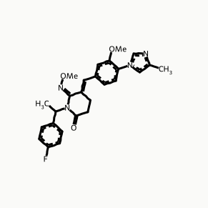 CO/N=C1\C(=C\c2ccc(-n3cnc(C)c3)c(OC)c2)CCC(=O)N1C(C)c1ccc(F)cc1